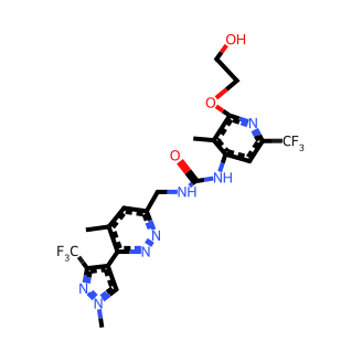 Cc1cc(CNC(=O)Nc2cc(C(F)(F)F)nc(OCCO)c2C)nnc1-c1cn(C)nc1C(F)(F)F